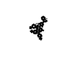 Cc1cc2c3c(c1)N(c1c(C)cc(-c4csc5ccccc45)cc1C)c1oc4ccc(C(C)(C)C)cc4c1B3c1cc(C(C)(C)C)ccc1N2c1ccc(C(C)(C)C)cc1